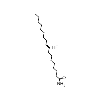 CCCCCCCCC=CCCCCCCCC(N)=O.F